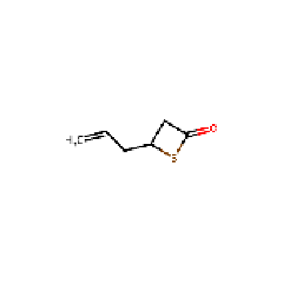 C=CCC1CC(=O)S1